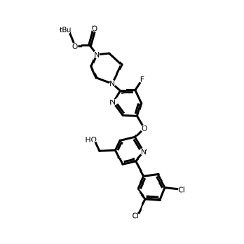 CC(C)(C)OC(=O)N1CCN(c2ncc(Oc3cc(CO)cc(-c4cc(Cl)cc(Cl)c4)n3)cc2F)CC1